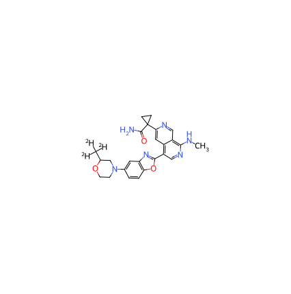 [2H]C([2H])([2H])C1CN(c2ccc3oc(-c4cnc(NC)c5cnc(C6(C(N)=O)CC6)cc45)nc3c2)CCO1